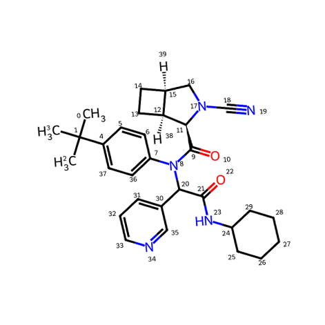 CC(C)(C)c1ccc(N(C(=O)[C@H]2[C@H]3CC[C@H]3CN2C#N)C(C(=O)NC2CCCCC2)c2cccnc2)cc1